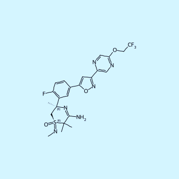 CN=[S@@]1(=O)C[C@@](C)(c2cc(-c3cc(-c4cnc(OCC(F)(F)F)cn4)no3)ccc2F)N=C(N)C1(C)C